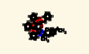 CCc1ccc(Cc2c(C)nn([C@@H]3O[C@H](C(O)Cc4ccccc4)[C@](O)(Cc4ccccc4)[C@@](O)(Cc4ccccc4)[C@]3(O)Cc3ccccc3)c2C)cc1